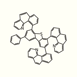 c1ccc(-c2cc(-c3cccc4ccc5cccnc5c34)c3sc4c(-c5cccc6ccc7cccnc7c56)cc(-c5cccc6ccc7cccnc7c56)cc4c3c2)cc1